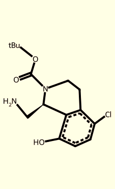 CC(C)(C)OC(=O)N1CCc2c(Cl)ccc(O)c2[C@H]1CN